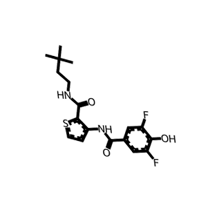 CC(C)(C)CCNC(=O)c1sccc1NC(=O)c1cc(F)c(O)c(F)c1